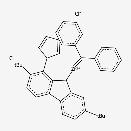 CC(C)(C)c1ccc2c(c1)[CH]([Zr+2]=[C](c1ccccc1)c1ccccc1)c1c-2ccc(C(C)(C)C)c1C1C=CC=C1.[Cl-].[Cl-]